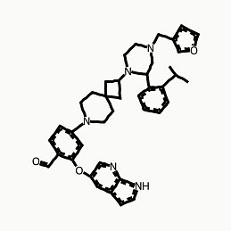 CC(C)c1ccccc1C1CN(Cc2ccoc2)CCN1C1CC2(CCN(c3ccc(C=O)c(Oc4cnc5[nH]ccc5c4)c3)CC2)C1